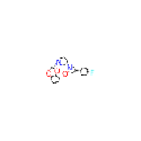 O=C1C=C(c2ccc(F)cc2)CN1[C@H]1CCCN(C[C@H]2COc3ccccc3O2)C1